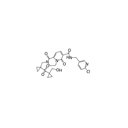 O=C(NCc1ccc(Cl)nc1)c1ccc2n(c1=O)CCN(CC1(S(=O)(=O)C3(CO)CC3)CC1)C2=O